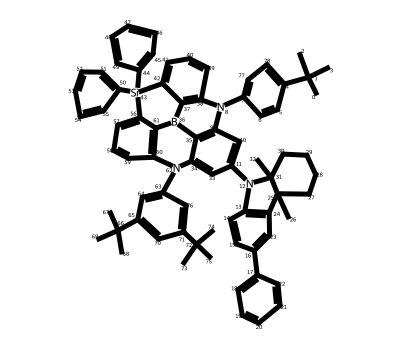 CC(C)(C)c1ccc(N2c3cc(N4c5ccc(-c6ccccc6)cc5C5(C)CCCCC45C)cc4c3B3c5c2cccc5[Si](c2ccccc2)(c2ccccc2)c2cccc(c23)N4c2cc(C(C)(C)C)cc(C(C)(C)C)c2)cc1